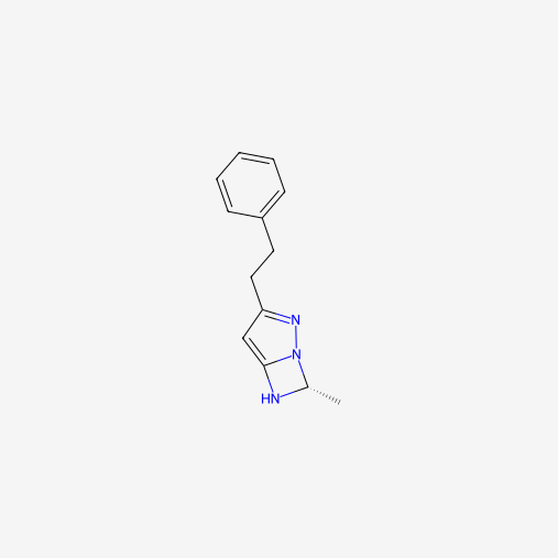 C[C@@H]1Nc2cc(CCc3ccccc3)nn21